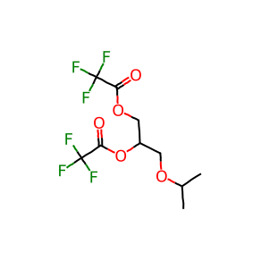 CC(C)OCC(COC(=O)C(F)(F)F)OC(=O)C(F)(F)F